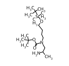 CC(N)CN(CCCCO[Si](C)(C)C(C)(C)C)C(=O)OC(C)(C)C